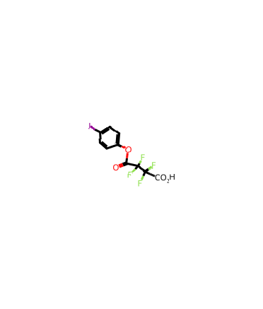 O=C(O)C(F)(F)C(F)(F)C(=O)Oc1ccc(I)cc1